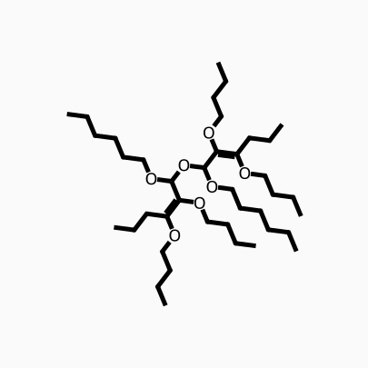 CCCCCCOC(OC(OCCCCCC)C(OCCCC)=C(CCC)OCCCC)C(OCCCC)=C(CCC)OCCCC